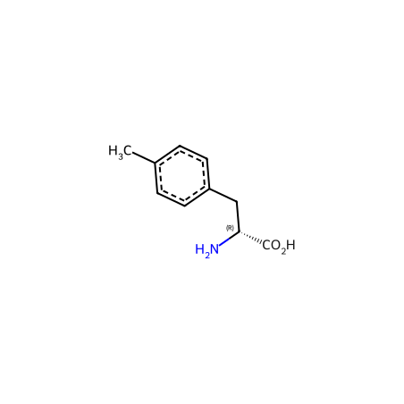 Cc1ccc(C[C@@H](N)C(=O)O)cc1